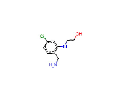 NCc1ccc(Cl)cc1NCCO